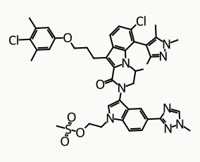 Cc1cc(OCCCc2c3n(c4c(-c5c(C)nn(C)c5C)c(Cl)ccc24)C(C)CN(c2cn(CCOS(C)(=O)=O)c4ccc(-c5ncn(C)n5)cc24)C3=O)cc(C)c1Cl